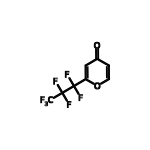 O=c1ccoc(C(F)(F)C(F)(F)C(F)(F)F)c1